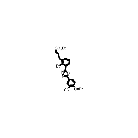 [C-]#[N+]c1cc(-c2nnc(-c3cccc(CCCC(=O)OCC)c3CC)o2)ccc1OC(C)C